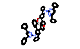 c1ccc(-c2cc(-c3ccccc3)nc(-n3c4ccccc4c4cc5c(cc43)-c3ccccc3[Si]3(c4ccccc4-5)c4ccccc4-c4cc5c6ccccc6n(-c6nc(-c7ccccc7)cc(-c7ccccc7)n6)c5cc4-c4ccccc43)n2)cc1